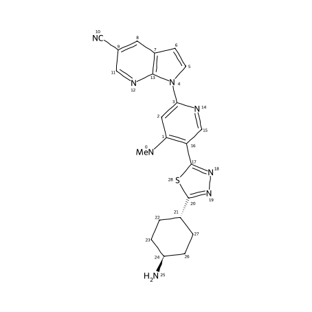 CNc1cc(-n2ccc3cc(C#N)cnc32)ncc1-c1nnc([C@H]2CC[C@H](N)CC2)s1